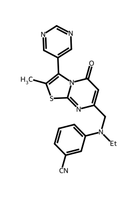 CCN(Cc1cc(=O)n2c(-c3cncnc3)c(C)sc2n1)c1cccc(C#N)c1